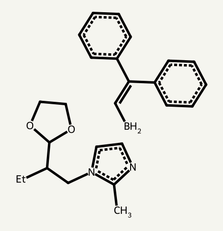 BC=C(c1ccccc1)c1ccccc1.CCC(Cn1ccnc1C)C1OCCO1